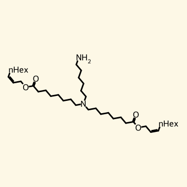 CCCCCC/C=C\COC(=O)CCCCCCCN(CCCCCCN)CCCCCCCC(=O)OC/C=C\CCCCCC